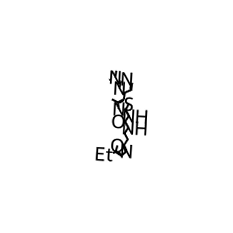 CCc1cnc(CCNC(=O)Nc2nc(C)c(-c3ccnc(N(C)C)n3)s2)o1